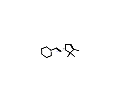 CC1=CC[C@@H](/C=C/N2CCCCC2)C1(C)C